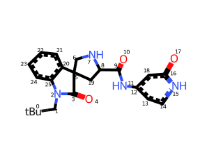 CC(C)(C)CN1C(=O)C2(CNC(C(=O)Nc3cc[nH]c(=O)c3)C2)c2ccccc21